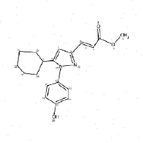 COC(=O)/C=C/c1cc(C2CCCCC2)n(-c2ccc(O)cc2)n1